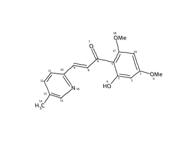 COc1cc(O)c(C(=O)/C=C/c2ccc(C)cn2)c(OC)c1